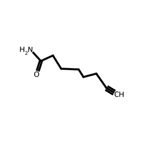 C#CCCCCCC(N)=O